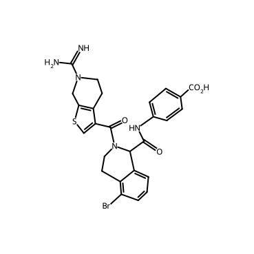 N=C(N)N1CCc2c(C(=O)N3CCc4c(Br)cccc4C3C(=O)Nc3ccc(C(=O)O)cc3)csc2C1